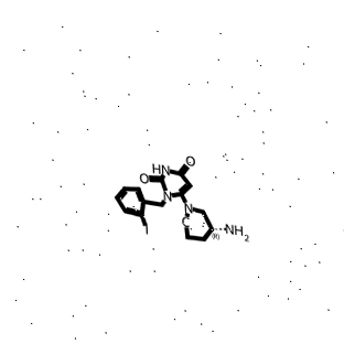 N[C@@H]1CCCN(c2cc(=O)[nH]c(=O)n2Cc2ccccc2I)C1